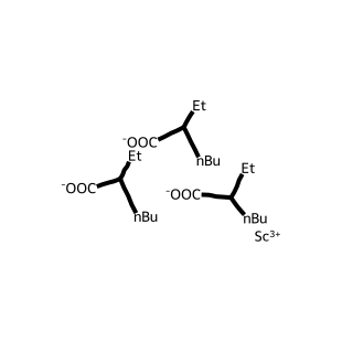 CCCCC(CC)C(=O)[O-].CCCCC(CC)C(=O)[O-].CCCCC(CC)C(=O)[O-].[Sc+3]